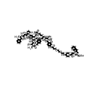 CC[C@H](C)[C@@H]([C@@H](CC(=O)N1CCC[C@H]1[C@H](OC)[C@@H](C)C(=O)N[C@H](C)[C@@H](O)c1ccccc1)OC)N(C)C(=O)[C@@H](NC(=O)[C@H](C(C)C)N(C)C(=O)OCc1ccc(NC(=O)[C@H](CCCNC(N)=O)NC(=O)[C@@H](NC(=O)c2ccc(NC(=O)CCOCCOCCNC3CCN(C(=O)CCn4c(CN(C)NC)cc5cccnc54)CC3)cc2O)C(C)C)cc1)C(C)C